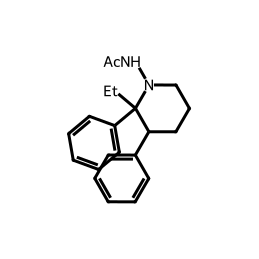 CCC1(c2ccccc2)C(c2ccccc2)CCCN1NC(C)=O